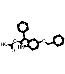 O=C(O)Oc1[nH]c2ccc(OCc3ccccc3)cc2c1-c1ccccc1